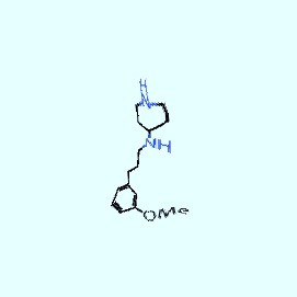 COc1cccc(CCCNC2CCNCC2)c1